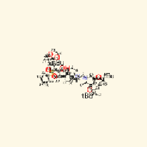 C=C1/C(=C\C=C2/CCC[C@]3(C)[C@@H]([C@H](C)C(O)C(CCC4(C5(CCCC)OCCO5)CC4)S(=O)(=O)c4ccccc4)CC[C@@H]23)C[C@@H](O[Si](C)(C)C(C)(C)C)C[C@@H]1O[Si](C)(C)C(C)(C)C